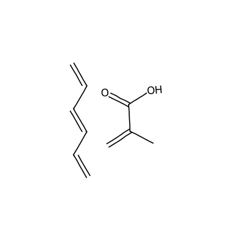 C=C(C)C(=O)O.C=CC=CC=C